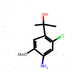 COc1cc(C(C)(C)O)c(Cl)cc1N